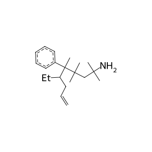 C=CCC(CC)C(C)(c1ccccc1)C(C)(C)CC(C)(C)N